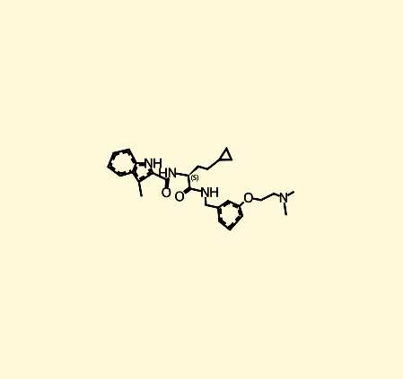 Cc1c(C(=O)N[C@@H](CCC2CC2)C(=O)NCc2cccc(OCCN(C)C)c2)[nH]c2ccccc12